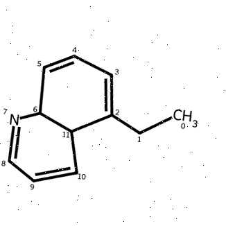 CCC1=CC=CC2N=CC=CC12